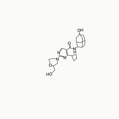 O=C(NC1C2CC3CC1CC(O)(C3)C2)c1cnc(N2CCOC(CO)C2)nc1C1CCC1